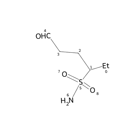 CCC(CCC=O)S(N)(=O)=O